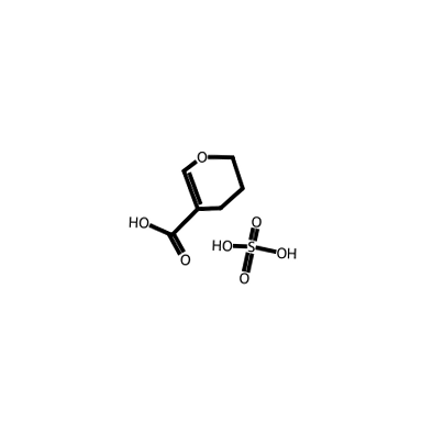 O=C(O)C1=COCCC1.O=S(=O)(O)O